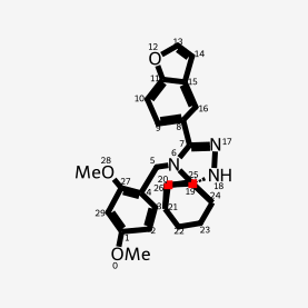 COc1ccc(CN2C(c3ccc4occc4c3)=NN[C@]23CC2CCC3CC2)c(OC)c1